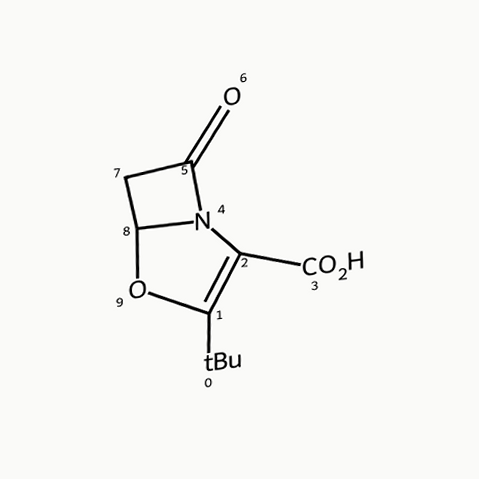 CC(C)(C)C1=C(C(=O)O)N2C(=O)CC2O1